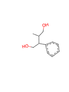 CC(CO)C(CO)c1ccccc1